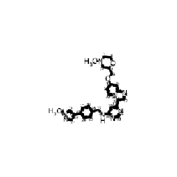 CN1CCOC(COc2ccn3c(-c4cc(NCc5ccc(-c6cnn(C)c6)cc5)ncn4)cnc3c2)C1